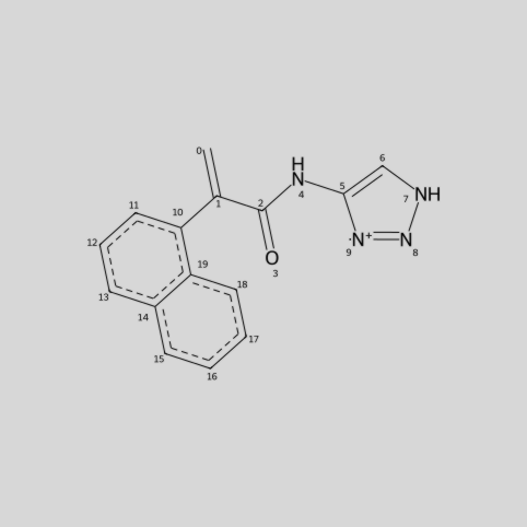 C=C(C(=O)NC1=CNN=[N+]1)c1cccc2ccccc12